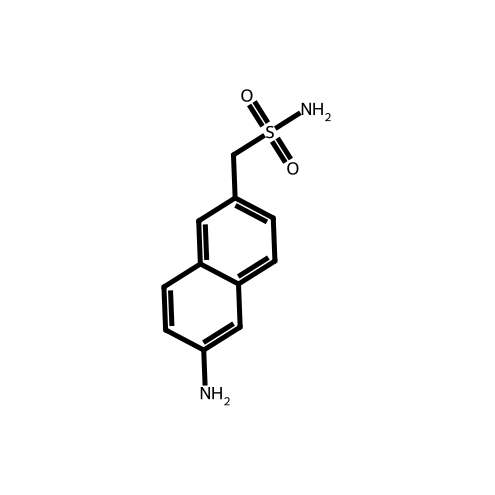 Nc1ccc2cc(CS(N)(=O)=O)ccc2c1